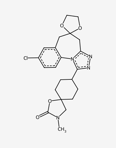 CN1CC2(CCC(c3nnc4n3-c3ccc(Cl)cc3CC3(C4)OCCO3)CC2)OC1=O